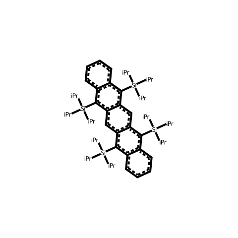 CC(C)[Si](c1c2ccccc2c([Si](C(C)C)(C(C)C)C(C)C)c2cc3c([Si](C(C)C)(C(C)C)C(C)C)c4ccccc4c([Si](C(C)C)(C(C)C)C(C)C)c3cc12)(C(C)C)C(C)C